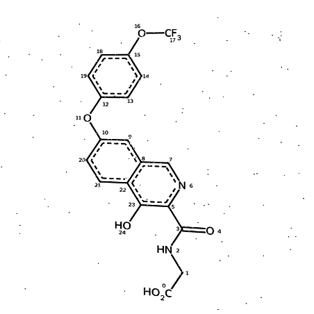 O=C(O)CNC(=O)c1ncc2cc(Oc3ccc(OC(F)(F)F)cc3)ccc2c1O